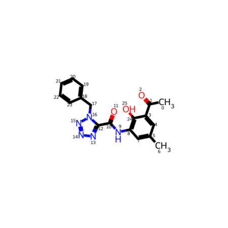 CC(=O)c1cc(C)cc(NC(=O)c2nnnn2Cc2ccccc2)c1O